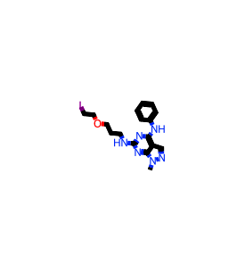 Cn1ncc2c(Nc3ccccc3)nc(NCCCOCCI)nc21